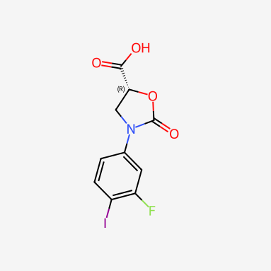 O=C(O)[C@H]1CN(c2ccc(I)c(F)c2)C(=O)O1